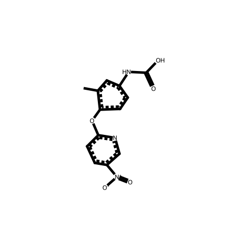 Cc1cc(NC(=O)O)ccc1Oc1ccc([N+](=O)[O-])cn1